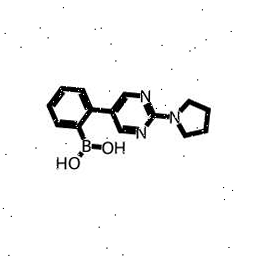 OB(O)c1ccccc1-c1cnc(N2CCCC2)nc1